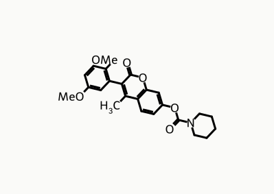 COc1ccc(OC)c(-c2c(C)c3ccc(OC(=O)N4CCCCC4)cc3oc2=O)c1